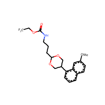 COc1ccc2cccc(C3COC(CCCNC(=O)OCC(F)(F)F)OC3)c2c1